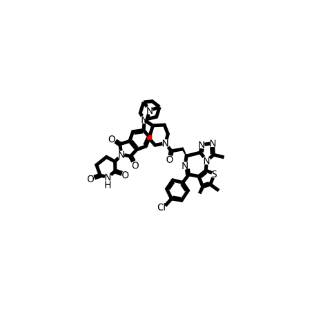 Cc1sc2c(c1C)C(c1ccc(Cl)cc1)=N[C@@H](CC(=O)N1CCC(CN3C4CC3CN(c3ccc5c(c3)C(=O)N(C3CCC(=O)NC3=O)C5=O)C4)CC1)c1nnc(C)n1-2